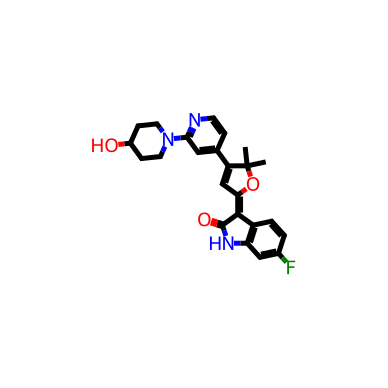 CC1(C)O/C(=C2/C(=O)Nc3cc(F)ccc32)C=C1c1ccnc(N2CCC(O)CC2)c1